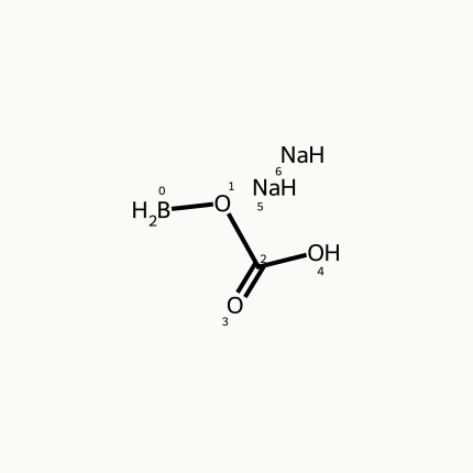 BOC(=O)O.[NaH].[NaH]